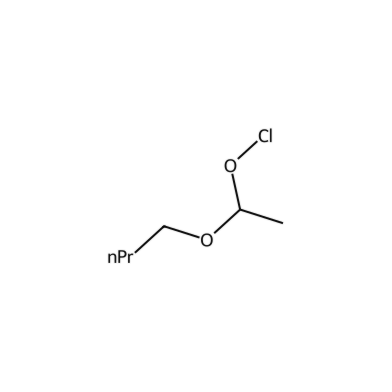 CCCCOC(C)OCl